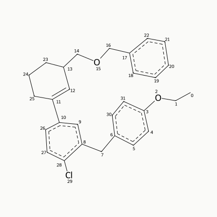 CCOc1ccc(Cc2cc(C3=CC(COCc4ccccc4)CCC3)ccc2Cl)cc1